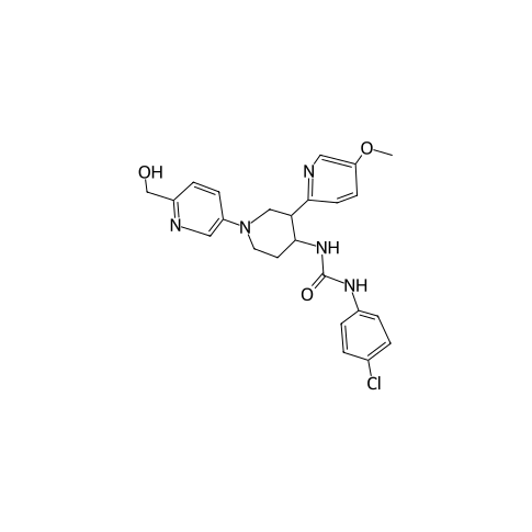 COc1ccc(C2CN(c3ccc(CO)nc3)CCC2NC(=O)Nc2ccc(Cl)cc2)nc1